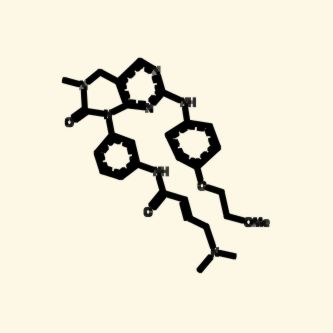 COCCOc1ccc(Nc2ncc3c(n2)N(c2cccc(NC(=O)/C=C/CN(C)C)c2)C(=O)N(C)C3)cc1